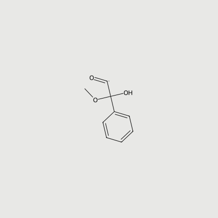 COC(O)([C]=O)c1ccccc1